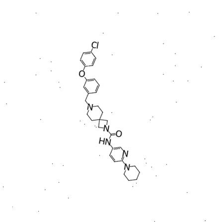 O=C(Nc1ccc(N2CCCCC2)nc1)N1CC2(CCN(Cc3cccc(Oc4ccc(Cl)cc4)c3)CC2)C1